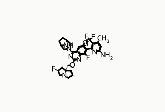 Cc1cc(N)nc(-c2c(Cl)cc3c(N4CC5CCC(C4)N5)nc(OC[C@]45CCCN4C[C@@H](F)C5)nc3c2F)c1C(F)(F)F